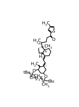 C=C1/C(=C\C=C2/CCC[C@]3(C)[C@@H]([C@H](C)CCC(=O)c4cc(C)cs4)CC[C@@H]23)CC(O[Si](C)(C)C(C)(C)C)CC1O[Si](C)(C)C(C)(C)C